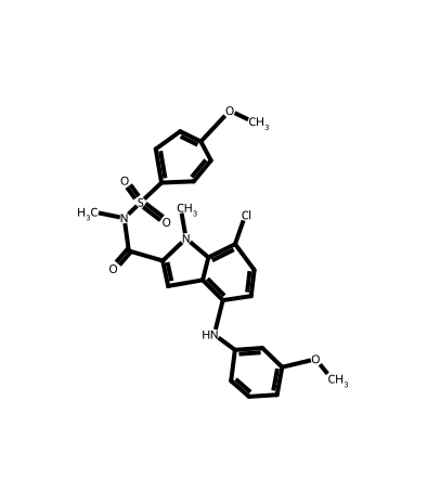 COc1ccc(S(=O)(=O)N(C)C(=O)c2cc3c(Nc4cccc(OC)c4)ccc(Cl)c3n2C)cc1